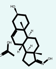 CC(=O)O.C[C@]12CC[C@H](O)CC1=CC[C@@H]1[C@@H]2CC[C@]2(C)/C(=N\O)CC[C@@H]12